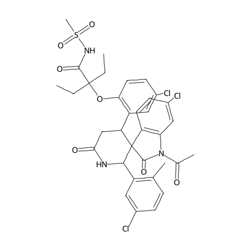 CCC(CC)(Oc1ccc(Cl)cc1C1CC(=O)NC(c2cc(Cl)ccc2C)C12C(=O)N(C(C)=O)c1cc(Cl)ccc12)C(=O)NS(C)(=O)=O